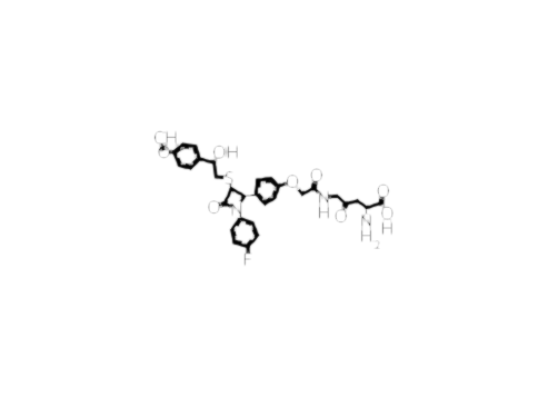 COc1ccc(C(O)CS[C@H]2C(=O)N(c3ccc(F)cc3)[C@@H]2c2ccc(OCC(=O)NCC(=O)C[C@@H](N)C(=O)O)cc2)cc1